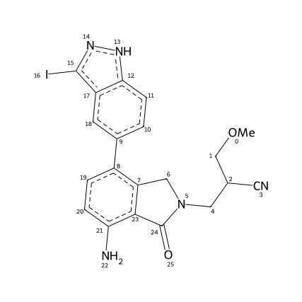 COCC(C#N)CN1Cc2c(-c3ccc4[nH]nc(I)c4c3)ccc(N)c2C1=O